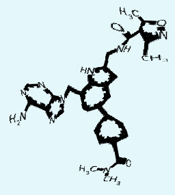 Cc1noc(C)c1C(=O)NCc1cc2cc(-c3ccc(C(=O)N(C)C)cc3)cc(Cn3cnc4c(N)ncnc43)c2[nH]1